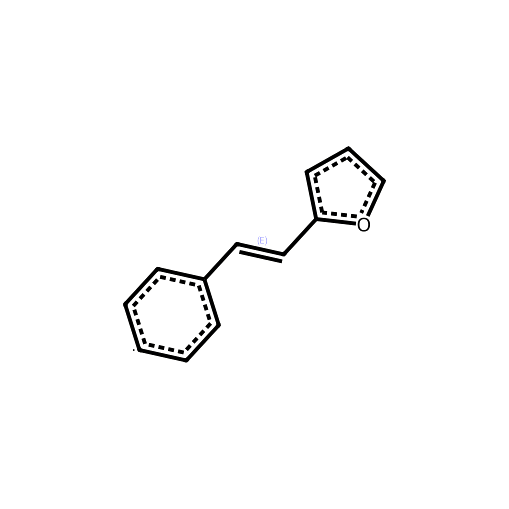 [c]1ccc(/C=C/c2ccco2)cc1